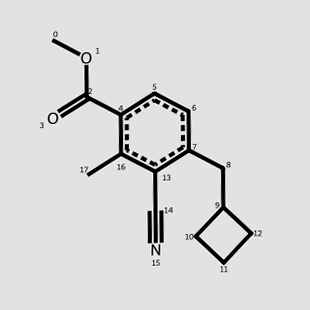 COC(=O)c1ccc(CC2CCC2)c(C#N)c1C